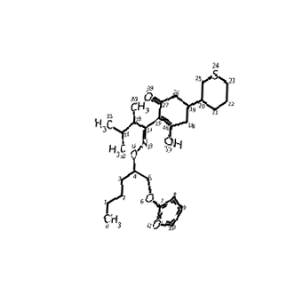 CCCCC(COc1ccco1)ON=C(C1=C(O)CC(C2CCCSC2)CC1=O)C(C)C(C)C